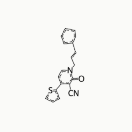 N#Cc1c(-c2cccs2)ccn(CC=Cc2ccccc2)c1=O